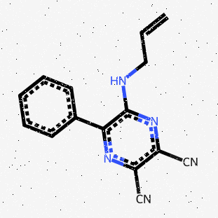 C=CCNc1nc(C#N)c(C#N)nc1-c1ccccc1